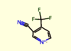 N#CC1=C(C(F)(F)F)C=C[N+]=C1